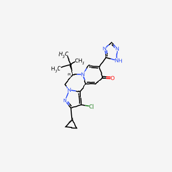 CC(C)(C)[C@@H]1Cn2nc(C3CC3)c(Cl)c2-c2cc(=O)c(-c3ncn[nH]3)cn21